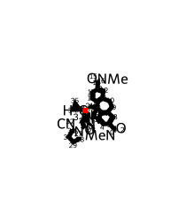 CNC(=O)c1ccc2c(c1)CCc1cc(C(=O)NC)ccc1C2(C[C@@H](NCC(=O)N1CCCC1C#N)C1CC1)c1nnnn1C